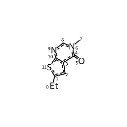 CCc1cc2c(=O)n(C)cnc2s1